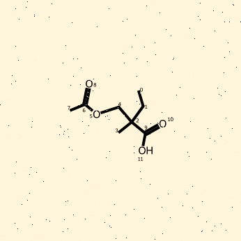 CCC(C)(COC(C)=O)C(=O)O